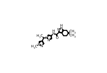 CC(c1cnn(C)c1)n1cc(NC(=O)c2n[nH]c3c2CCC(C)(C)C3)cn1